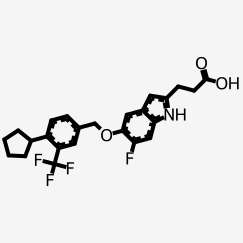 O=C(O)CCc1cc2cc(OCc3ccc(C4CCCC4)c(C(F)(F)F)c3)c(F)cc2[nH]1